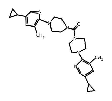 Cc1cc(C2CC2)cnc1N1CCN(C(=O)N2CCN(c3ncc(C4CC4)cc3C)CC2)CC1